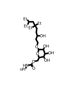 CCCNC(=O)OCC1OC(OCCC(O)CCC(CC)(CC)CC(CC)CC)C(O)C(O)C1O